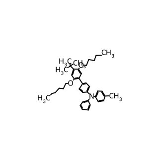 CCCCCCOc1cc(C(C)(C)C)c(OCCCCCC)cc1-c1ccc(N(c2ccccc2)c2ccc(C)cc2)cc1